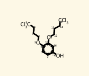 Oc1ccc(OCCCC(Cl)(Cl)Cl)c(OCCCC(Cl)(Cl)Cl)c1